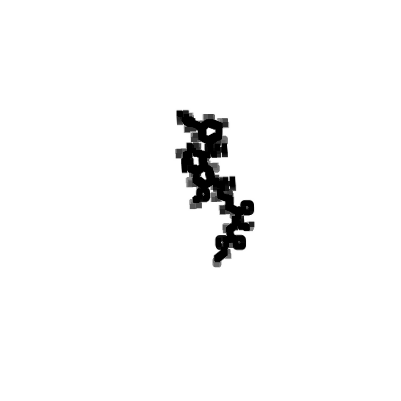 CCOC(=O)CN(C)C(=O)C=CCNc1cc2c(Nc3cccc(C#N)c3)ncnc2cc1OC